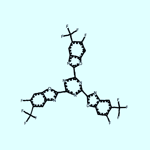 Fc1cc2oc(-c3nc(-c4nc5cc(C(F)(F)F)c(F)cc5o4)nc(-c4nc5cc(C(F)(F)F)c(F)cc5o4)n3)nc2cc1C(F)(F)F